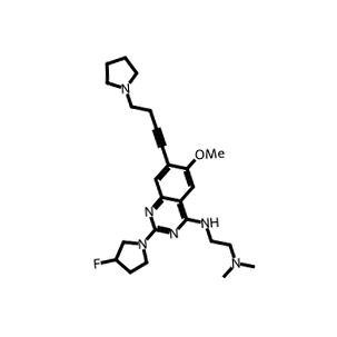 COc1cc2c(NCCN(C)C)nc(N3CCC(F)C3)nc2cc1C#CCCN1CCCC1